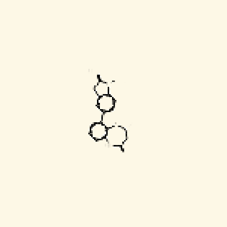 C=C1Cc2cc(-c3cccc4c3N[C@H](C)CC(=O)N4)ccc2N1C